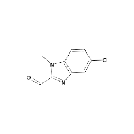 Cn1c(C=O)nc2cc(Cl)ccc21